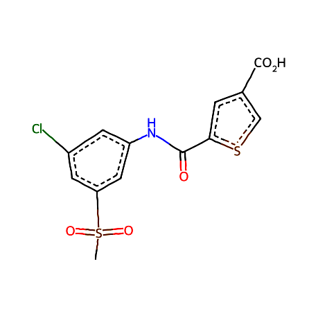 CS(=O)(=O)c1cc(Cl)cc(NC(=O)c2cc(C(=O)O)cs2)c1